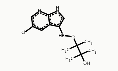 CC(C)(O)C(C)(C)OBc1c[nH]c2ncc(Cl)cc12